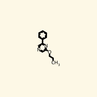 CCCOc1cn[c]c(-c2ccccc2)n1